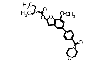 CCN(CC)C(=O)OC1Cc2cc(-c3ccc(C(=O)N4CCOCC4)cc3)cc(OC)c2O1